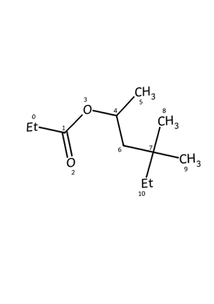 CCC(=O)OC(C)CC(C)(C)CC